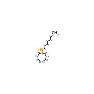 CCCCCCCCPC1CCCCCCCC1